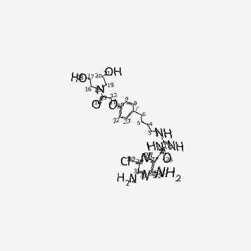 N=C(NCCCCc1ccc(OCC(=O)N(CCO)CCO)cc1)NC(=O)c1nc(Cl)c(N)nc1N